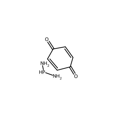 NPN.O=C1C=CC(=O)C=C1